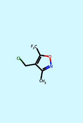 Cc1noc(C(F)(F)F)c1CCl